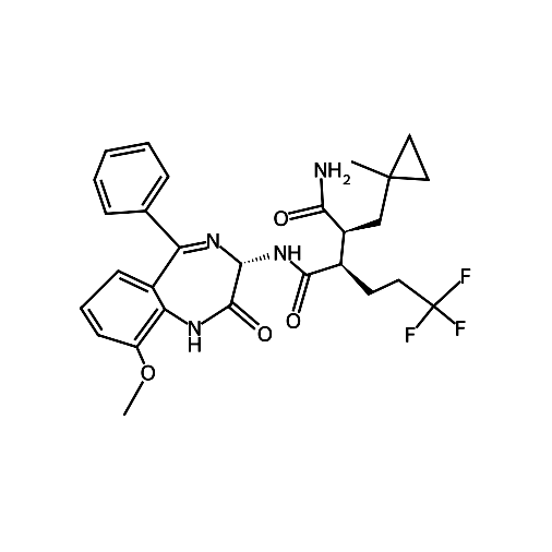 COc1cccc2c1NC(=O)[C@@H](NC(=O)[C@H](CCC(F)(F)F)[C@H](CC1(C)CC1)C(N)=O)N=C2c1ccccc1